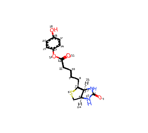 O=C1N[C@H]2[C@H](CS[C@H]2CCCCC(=O)Oc2ccc(O)cc2)N1